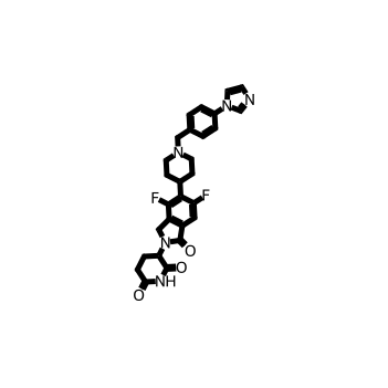 O=C1CCC(N2Cc3c(cc(F)c(C4CCN(Cc5ccc(-n6ccnc6)cc5)CC4)c3F)C2=O)C(=O)N1